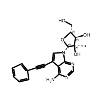 C[C@@]1(O)[C@H](O)[C@@H](CO)O[C@H]1n1cc(C#Cc2ccccc2)c2c(N)ncnc21